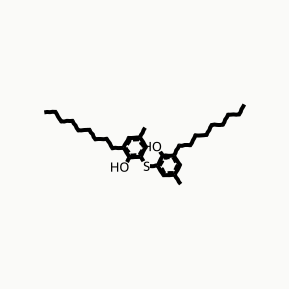 CCCCCCCCCc1cc(C)cc(Sc2cc(C)cc(CCCCCCCCC)c2O)c1O